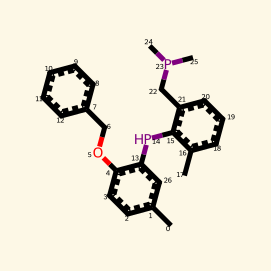 Cc1ccc(OCc2ccccc2)c(Pc2c(C)cccc2CP(C)C)c1